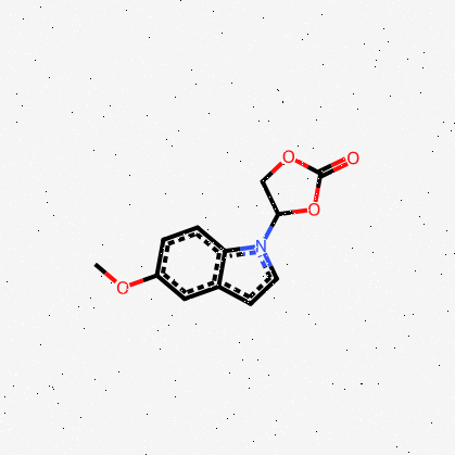 COc1ccc2c(ccn2C2COC(=O)O2)c1